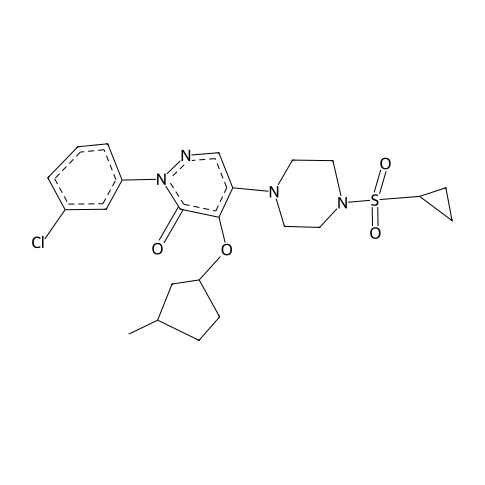 CC1CCC(Oc2c(N3CCN(S(=O)(=O)C4CC4)CC3)cnn(-c3cccc(Cl)c3)c2=O)C1